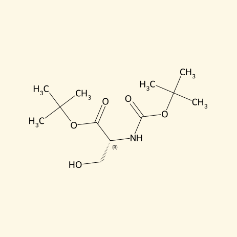 CC(C)(C)OC(=O)N[C@H](CO)C(=O)OC(C)(C)C